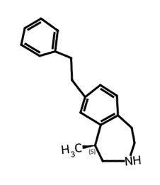 C[C@@H]1CNCCc2ccc(CCc3ccccc3)cc21